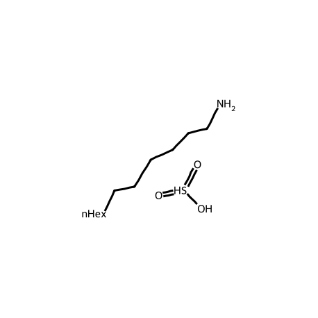 CCCCCCCCCCCCN.O=[SH](=O)O